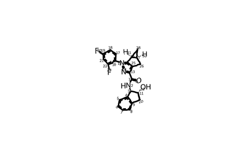 O=C(N[C@@H]1c2ccccc2C[C@H]1O)c1nn(-c2ccc(F)cc2F)c2c1C[C@@H]1C[C@H]21